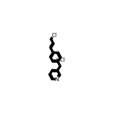 Cl.ClCC=Cc1ccc(Cc2cccnc2)cc1